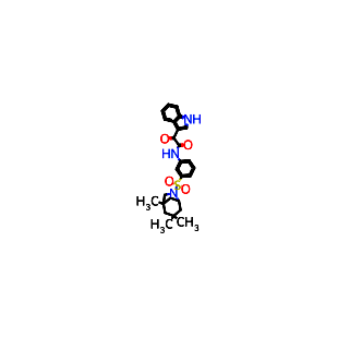 CC1(C)CC2CC(C)(CN2S(=O)(=O)c2cccc(NC(=O)C(=O)c3c[nH]c4ccccc34)c2)C1